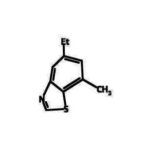 CCc1cc(C)c2scnc2c1